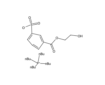 CCCC[P+](CCCC)(CCCC)CCCC.O=C(OCCO)c1cccc(S(=O)(=O)[O-])c1